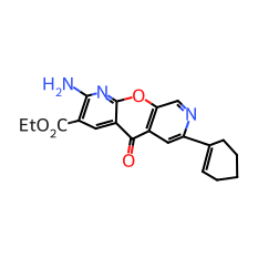 CCOC(=O)c1cc2c(=O)c3cc(C4=CCCCC4)ncc3oc2nc1N